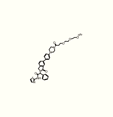 CCCOCCOCCOCCC(=O)N1CCN(c2ccc(-c3ccc4c(c3)C(=O)N(C(C(=O)Nc3nccs3)c3ccccc3)C4)cc2)CC1